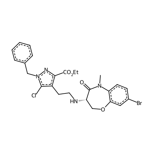 CCOC(=O)c1nn(Cc2ccccc2)c(Cl)c1CCN[C@H]1COc2cc(Br)ccc2N(C)C1=O